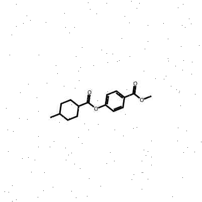 COC(=O)c1ccc(OC(=O)C2CCC(C)CC2)cc1